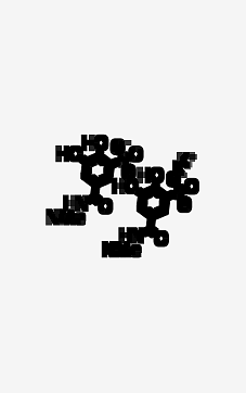 CNNC(=O)c1cc(O)c(O)c(S(=O)(=O)[O-])c1.CNNC(=O)c1cc(O)c(O)c(S(=O)(=O)[O-])c1.[K+].[K+]